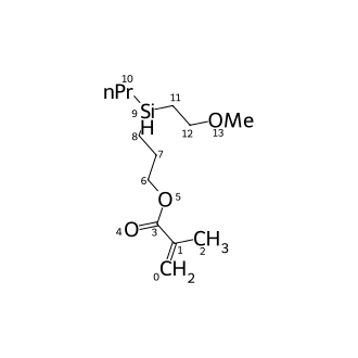 C=C(C)C(=O)OCCC[SiH](CCC)CCOC